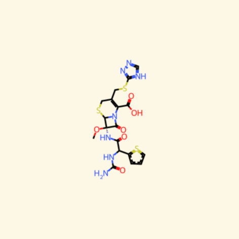 CO[C@]1(NC(=O)C(NC(N)=O)c2cccs2)C(=O)N2C(C(=O)O)=C(CSc3nnc[nH]3)CSC21